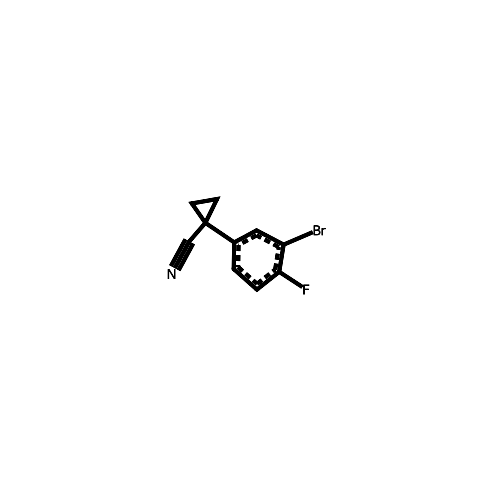 N#CC1(c2ccc(F)c(Br)c2)CC1